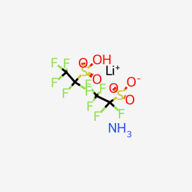 N.O=S(=O)(O)C(F)(F)C(F)(F)F.O=S(=O)([O-])C(F)(F)C(F)(F)F.[Li+]